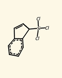 Cl[Si](Cl)(Cl)C1C=Cc2ccccc21